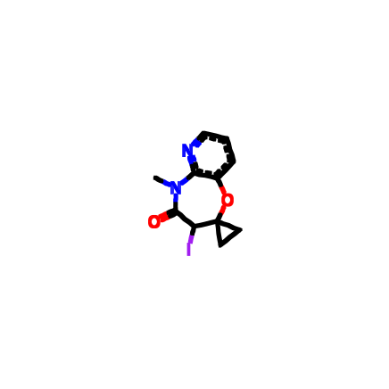 CN1C(=O)C(I)C2(CC2)Oc2cccnc21